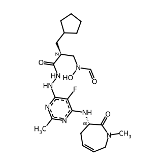 Cc1nc(NNC(=O)[C@@H](CC2CCCC2)CN(O)C=O)c(F)c(N[C@H]2CC=CCN(C)C2=O)n1